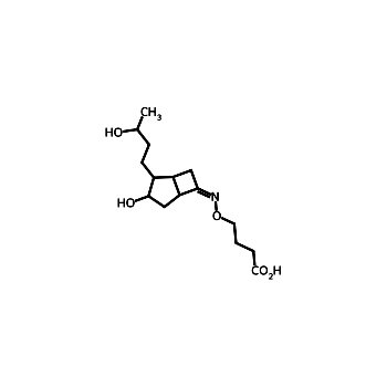 CC(O)CCC1C(O)CC2C(=NOCCCC(=O)O)CC21